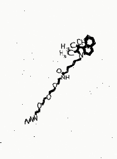 CC1=[N+](CCCCCC(=O)NCCOCCOCCOCCN=[N+]=[N-])c2ccc3ccccc3c2C1(C)C